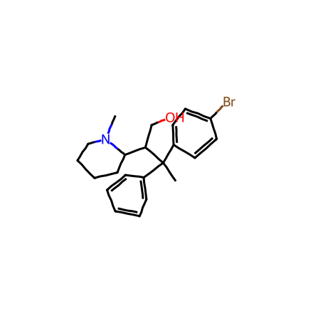 CN1CCCCC1C(CO)C(C)(c1ccccc1)c1ccc(Br)cc1